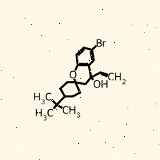 C=CC1(O)CC2(CCC(C(C)(C)C)CC2)Oc2ccc(Br)cc21